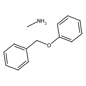 CN.c1ccc(COc2ccccc2)cc1